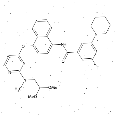 COC(CN(C)c1nccc(Oc2ccc(NC(=O)c3cc(F)cc(N4CCCCC4)c3)c3ccccc23)n1)OC